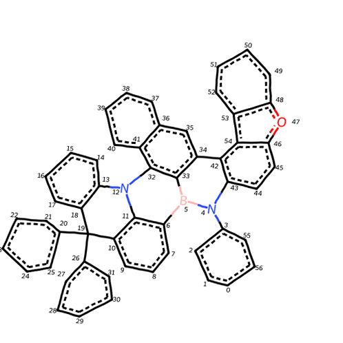 c1ccc(N2B3c4cccc5c4N(c4ccccc4C5(c4ccccc4)c4ccccc4)c4c3c(cc3ccccc43)-c3c2ccc2oc4ccccc4c32)cc1